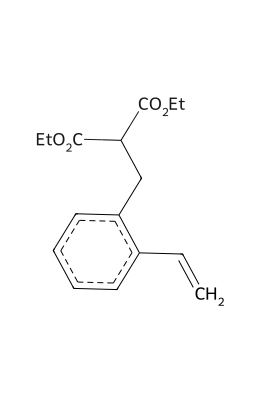 C=Cc1ccccc1CC(C(=O)OCC)C(=O)OCC